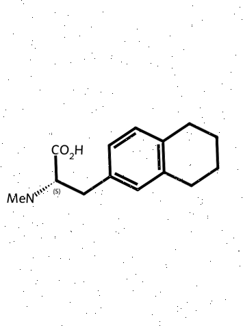 CN[C@@H](Cc1ccc2c(c1)CCCC2)C(=O)O